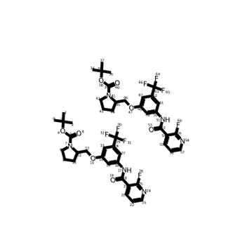 CC(C)(C)OC(=O)N1CCCC1COc1cc(NC(=O)c2cccnc2F)cc(C(F)(F)F)c1.CC(C)(C)OC(=O)N1CCCC1COc1cc(NC(=O)c2cccnc2F)cc(C(F)(F)F)c1